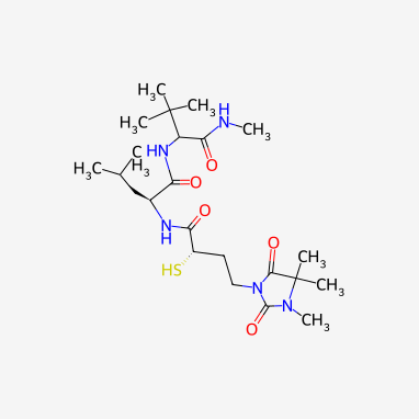 CNC(=O)C(NC(=O)[C@H](CC(C)C)NC(=O)[C@@H](S)CCN1C(=O)N(C)C(C)(C)C1=O)C(C)(C)C